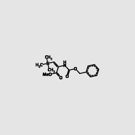 COC(=O)/C(=C\[Si](C)(C)C)NC(=O)OCc1ccccc1